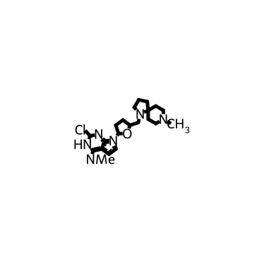 CNC1=c2ccn(C3CCC(CN4CCCC45CCN(C)CC5)O3)c2=NC(Cl)N1